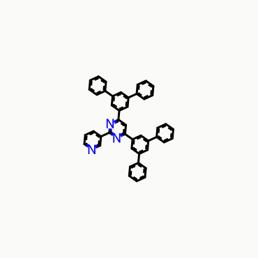 c1ccc(-c2cc(-c3ccccc3)cc(-c3cc(-c4cc(-c5ccccc5)cc(-c5ccccc5)c4)nc(-c4cccnc4)n3)c2)cc1